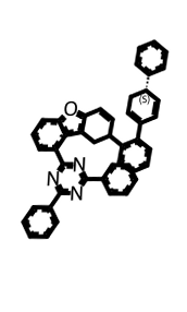 C1=C[C@@H](c2ccccc2)CC=C1c1ccccc1C1C=Cc2oc3cccc(-c4nc(-c5ccccc5)nc(-c5ccccc5)n4)c3c2C1